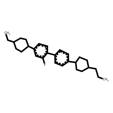 CCCC1CCC(c2ccc(-c3ccc(C4CCC(CC)CC4)cc3F)cc2)CC1